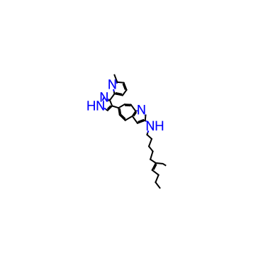 CCC/C=C(\CC)CCCCCNc1cnc2c(c1)C=C=C(c1c[nH]nc1-c1cccc(C)n1)C=C2